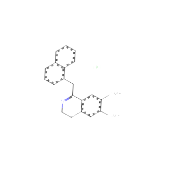 COc1cc2c(cc1OC)C(Cc1cccc3ccccc13)=NCC2.Cl